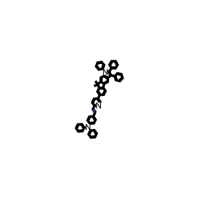 CC1(C)c2cc(-c3ccc(/C=C/c4ccc(N(c5ccccc5)c5ccccc5)cc4)nc3)ccc2-c2cc3c(-c4ccccc4)c(-c4ccccc4)n(-c4ccccc4)c3cc21